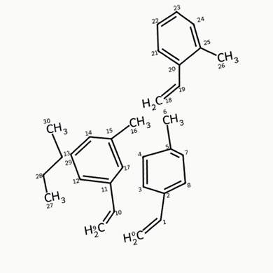 C=Cc1ccc(C)cc1.C=Cc1cccc(C)c1.C=Cc1ccccc1C.CCCC